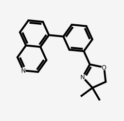 CC1(C)COC(c2cccc(-c3cccc4cnccc34)c2)=N1